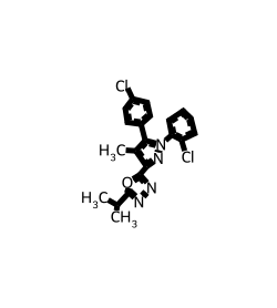 Cc1c(-c2nnc(C(C)C)o2)nn(-c2ccccc2Cl)c1-c1ccc(Cl)cc1